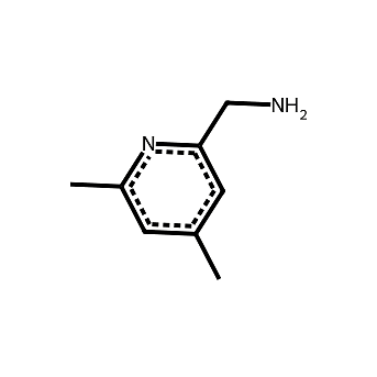 Cc1cc(C)nc(CN)c1